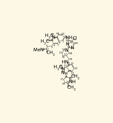 C=C(CCC1=Cc2cc(Nc3nc(N4CCCC(CNc5cccc6c(C7CCC(=C)NC7=C)nn(C)c56)C4)ncc3Cl)ccc2N(C)C1=C)NC